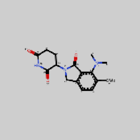 COc1ccc2c(c1N(C)C)C(=O)N(C1CCC(=O)NC1=O)C2